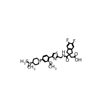 COc1cc(N2CCC(N(C)C)CC2)ccc1-c1csc(CNC(=O)C2(CC(=O)O)Cc3cc(F)c(F)cc3C2)n1